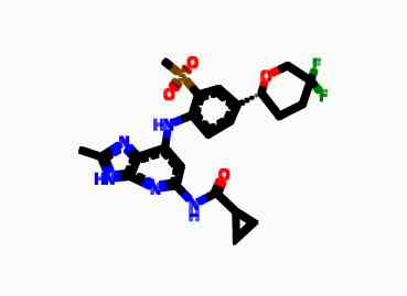 Cc1nc2c(Nc3ccc([C@H]4CCC(F)(F)CO4)cc3S(C)(=O)=O)cc(NC(=O)C3CC3)nc2[nH]1